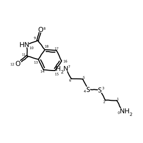 NCCSSCCN.O=C1NC(=O)c2ccccc21